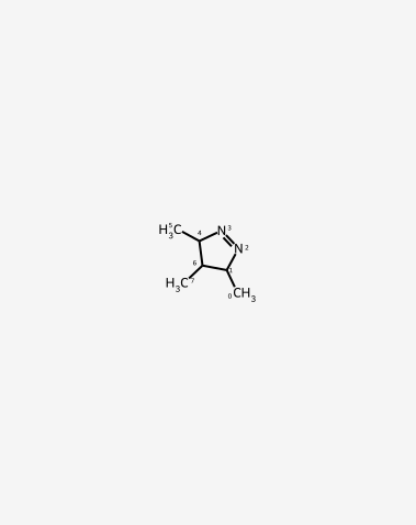 CC1N=NC(C)C1C